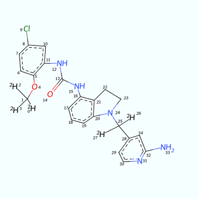 [2H]C([2H])([2H])Oc1ccc(Cl)cc1NC(=O)Nc1cccc2c1CCN2C([2H])([2H])c1ccnc(N)c1